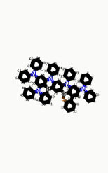 c1ccc(N(c2ccccc2)c2cc3c4c(c2)N(c2ccccc2)c2cc5c(cc2B4Sc2ccccc2-3)B2c3ccccc3N(c3ccccc3)c3cc(N(c4ccccc4)c4ccccc4)cc(c32)N5c2ccccc2)cc1